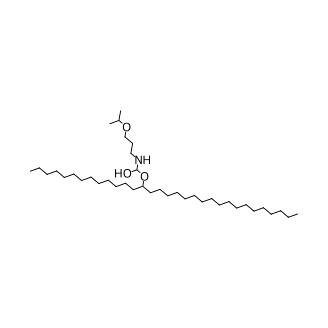 CCCCCCCCCCCCCCCCCCC(CCCCCCCCCCCCC)OC(O)NCCCOC(C)C